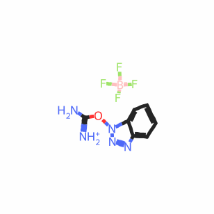 F[B-](F)(F)F.NC(=[NH2+])On1nnc2ccccc21